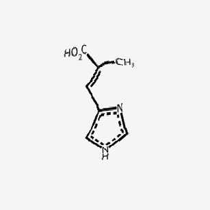 C/C(=C\c1c[nH]cn1)C(=O)O